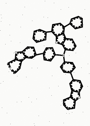 c1ccc(-c2ccc(-c3ccccc3)c3c2oc2c(N(c4ccc(-c5ccc6oc7ccccc7c6c5)cc4)c4ccc(-c5ccc6oc7ccccc7c6c5)cc4)cccc23)cc1